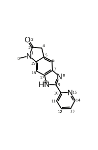 CN1C(=O)Cc2cc3nc(-c4ccccn4)[nH]c3cc21